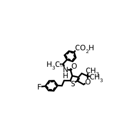 C[C@H](NC(=O)C1C2=C(COC(C)(C)C2)SC1CCc1ccc(F)cc1)c1ccc(C(=O)O)cc1